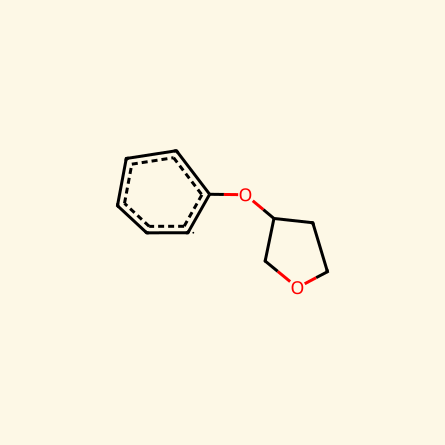 [c]1ccccc1OC1CCOC1